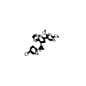 COc1ncc(-c2cc([C@H]3C[C@@H]3c3ccc(Cl)cn3)c3nccn3n2)c(OC)n1